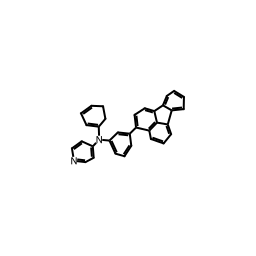 C1=CCCC(N(c2ccncc2)c2cccc(-c3ccc4c5c(cccc35)-c3ccccc3-4)c2)=C1